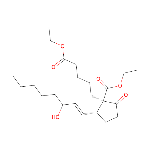 CCCCCC(O)C=C[C@H]1CCC(=O)[C@]1(CCCCC(=O)OCC)C(=O)OCC